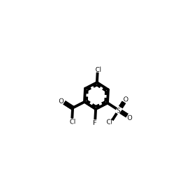 O=C(Cl)c1cc(Cl)cc(S(=O)(=O)Cl)c1F